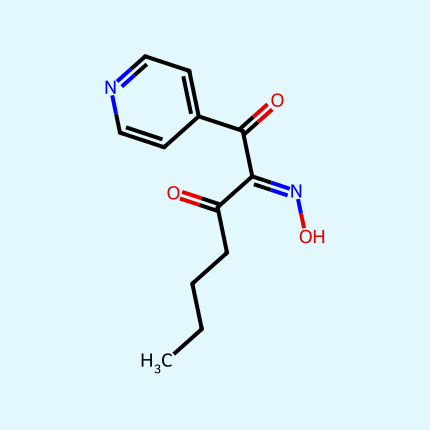 CCCCC(=O)/C(=N\O)C(=O)c1ccncc1